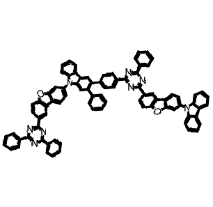 c1ccc(-c2nc(-c3ccc(-c4cc5c6ccccc6n(-c6ccc7c(c6)oc6ccc(-c8nc(-c9ccccc9)nc(-c9ccccc9)n8)cc67)c5cc4-c4ccccc4)cc3)nc(-c3ccc4oc5cc(-n6c7ccccc7c7ccccc76)ccc5c4c3)n2)cc1